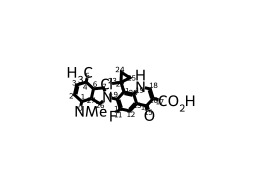 CNC1C=CC(C)C2CN(c3c(F)cc4c(=O)c(C(=O)O)c[nH]c4c3C3(Cl)CC3)CC12